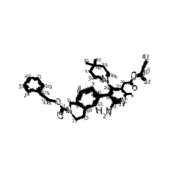 Cc1nc(N)c(-c2ccc3c(c2)CCN(C(=O)OCc2ccccc2)C3)c(N2CCC(C)(C)CC2)c1CC(=O)OC(C)C